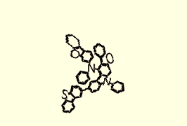 C1=Cc2oc3cc(N(c4ccccc4)c4c5c(cc6c4c4cc(-c7ccc8sc9ccccc9c8c7)ccc4n6-c4ccccc4)oc4ccccc45)ccc3c2CC1